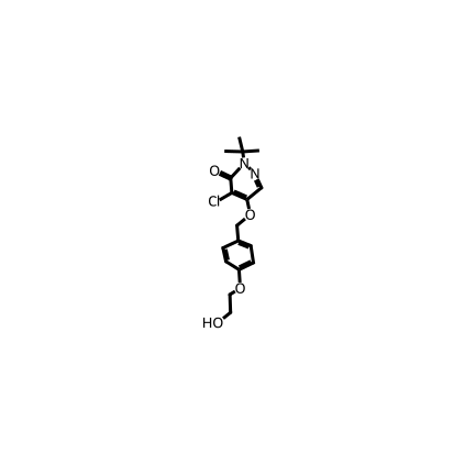 CC(C)(C)n1ncc(OCc2ccc(OCCO)cc2)c(Cl)c1=O